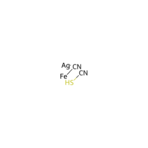 N#CS.N#[C][Fe].[Ag]